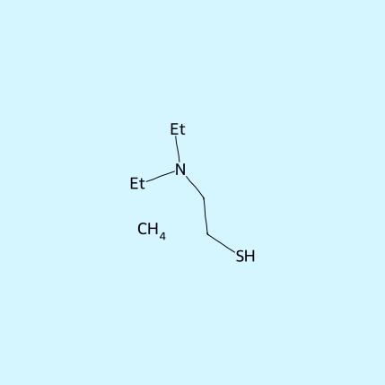 C.CCN(CC)CCS